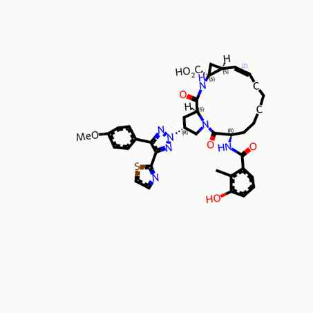 COc1ccc(-c2nn([C@@H]3C[C@H]4C(=O)N[C@@]5(C(=O)O)C[C@H]5/C=C\CCCCC[C@@H](NC(=O)c5cccc(O)c5C)C(=O)N4C3)nc2-c2nccs2)cc1